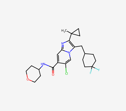 CC1(c2nc3cc(C(=O)NC4CCOCC4)c(Cl)cn3c2CC2CCC(F)(F)CC2)CC1